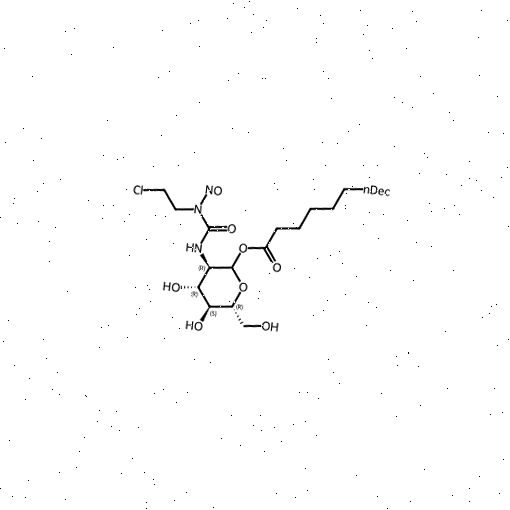 CCCCCCCCCCCCCCCC(=O)OC1O[C@H](CO)[C@@H](O)[C@H](O)[C@H]1NC(=O)N(CCCl)N=O